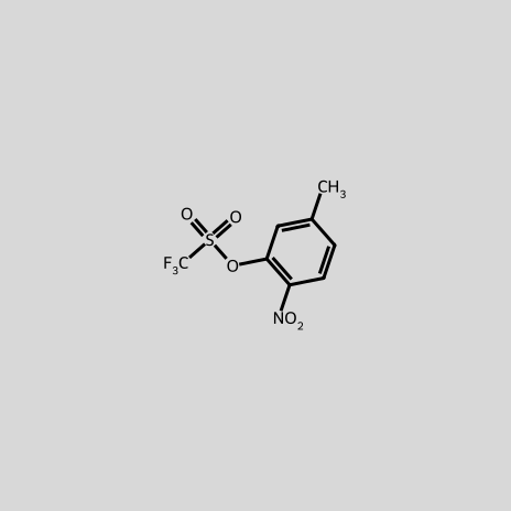 Cc1ccc([N+](=O)[O-])c(OS(=O)(=O)C(F)(F)F)c1